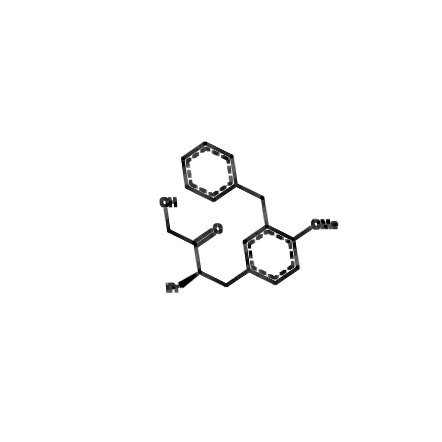 COc1ccc(C[C@H](C(=O)CO)C(C)C)cc1Cc1ccccc1